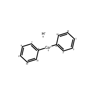 [H-].c1cc[c]([Ga+][c]2ccccc2)cc1